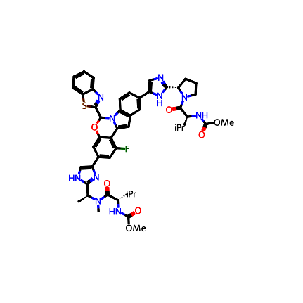 COC(=O)N[C@H](C(=O)N(C)[C@@H](C)c1nc(-c2cc(F)c3c(c2)OC(c2nc4ccccc4s2)n2c-3cc3cc(-c4cnc([C@@H]5CCCN5C(=O)[C@@H](NC(=O)OC)C(C)C)[nH]4)ccc32)c[nH]1)C(C)C